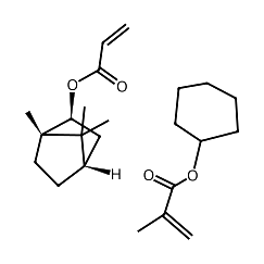 C=C(C)C(=O)OC1CCCCC1.C=CC(=O)O[C@H]1C[C@@H]2CC[C@@]1(C)C2(C)C